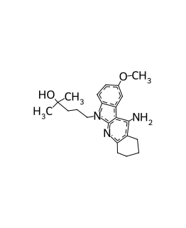 COc1ccc2c(c1)c1c(N)c3c(nc1n2CCCC(C)(C)O)CCCC3